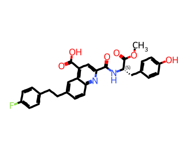 COC(=O)[C@H](Cc1ccc(O)cc1)NC(=O)c1cc(C(=O)O)c2cc(CCc3ccc(F)cc3)ccc2n1